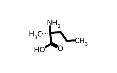 CCC[C@](C)(N)C(=O)O